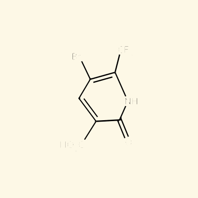 O=C(O)c1cc(Br)c(C(F)(F)F)[nH]c1=O